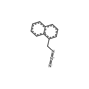 [N-]=[N+]=NCc1cccc2ccccc12